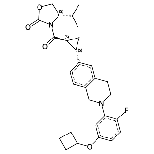 CC(C)[C@H]1COC(=O)N1C(=O)[C@H]1C[C@@H]1c1ccc2c(c1)CCN(c1cc(OC3CCC3)ccc1F)C2